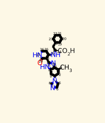 Cc1cc(-n2ccnc2)cc2[nH]c(-c3c(N[C@@H](Cc4ccccc4)C(=O)O)cc[nH]c3=O)nc12